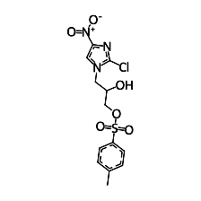 Cc1ccc(S(=O)(=O)OCC(O)Cn2cc([N+](=O)[O-])nc2Cl)cc1